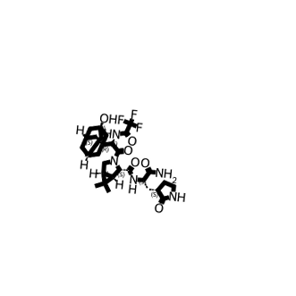 CC1(C)[C@@H]2[C@@H](C(=O)N[C@@H](C[C@@H]3CCNC3=O)C(N)=O)N(C(=O)[C@@H](NC(=O)C(F)(F)F)[C@@]34C[C@@H]5C[C@@H](C[C@](O)(C5)C3)C4)C[C@@H]21